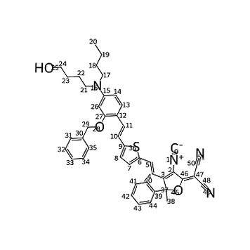 [C-]#[N+]C1=C(/C=C/c2ccc(/C=C/c3ccc(N(CCCC)CCCCO)cc3OCc3ccccc3)s2)C(C)(c2ccccc2)OC1=C(C#N)C#N